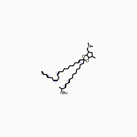 C=C/C=C/C/C=C\C/C=C\CCCCCC/C=C/C1(CCCCCCC/C=C/C=C/C(C)CCCC)OC2C(C)CC(CN(C)C)C2O1